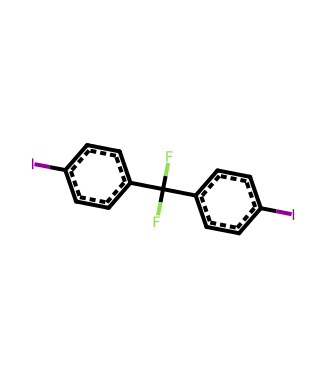 FC(F)(c1ccc(I)cc1)c1ccc(I)cc1